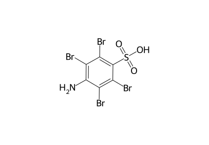 Nc1c(Br)c(Br)c(S(=O)(=O)O)c(Br)c1Br